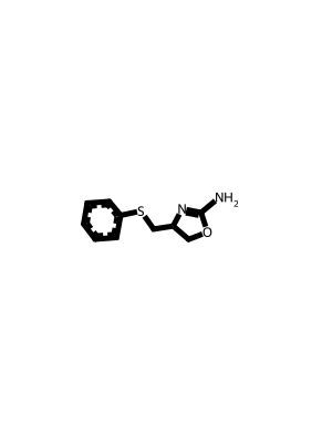 NC1=NC(CSc2ccccc2)CO1